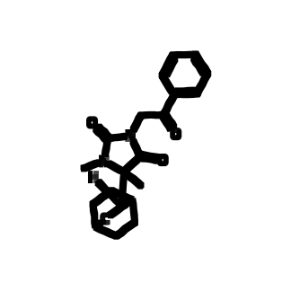 CN1C(=O)N(CC(=O)c2ccccc2)C(=O)C1(C)[C@H]1CC2CCC1CC2